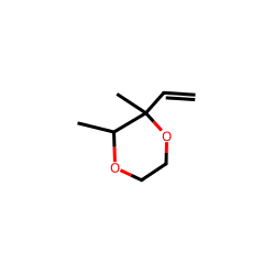 C=CC1(C)OCCOC1C